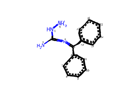 NNC(N)=[N+]=C(c1ccccc1)c1ccccc1